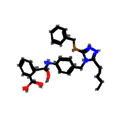 CCCCc1nnc(SCc2ccccc2)n1Cc1ccc(NC(=O)c2ccccc2C(=O)O)cc1